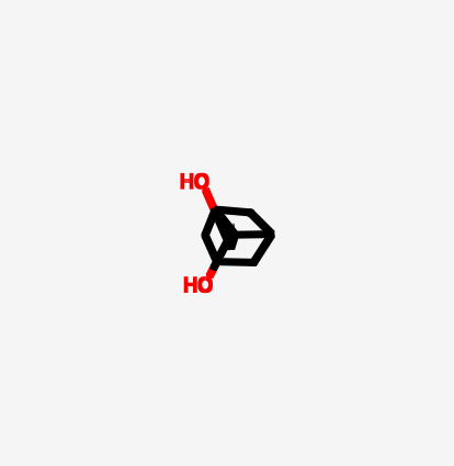 OC1=C2C3CC2CC(O)(C1)C3